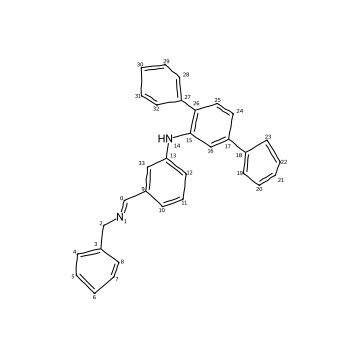 C(=N\Cc1ccccc1)/c1cccc(Nc2cc(-c3ccccc3)ccc2-c2ccccc2)c1